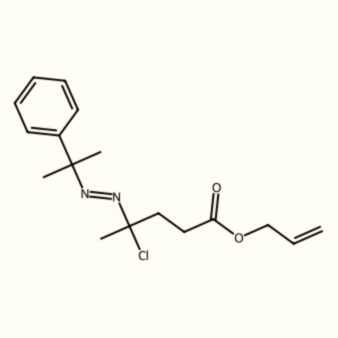 C=CCOC(=O)CCC(C)(Cl)N=NC(C)(C)c1ccccc1